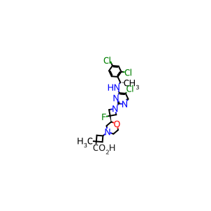 C[C@H](Nc1nc(N2CC(F)([C@@H]3CN(C4CC(C)(C(=O)O)C4)CCO3)C2)ncc1Cl)c1ccc(Cl)cc1Cl